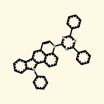 C1=CN(c2nc(-c3ccccc3)nc(-c3ccccc3)n2)c2cccc3c2c1cc1c2ccccc2n(-c2ccccc2)c31